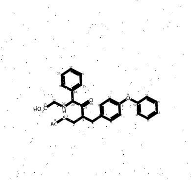 CC(=O)SCC(Cc1ccc(Oc2ccccc2)cc1)C(=O)C(NCC(=O)O)c1ccccc1